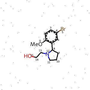 COc1ccc(Br)cc1C1CCCN1CCO